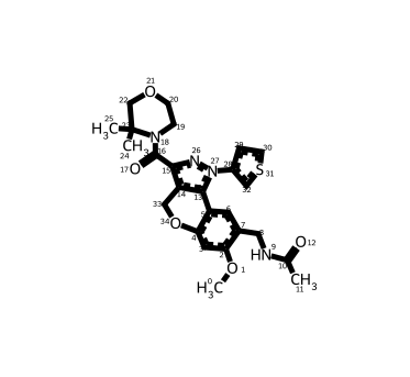 COc1cc2c(cc1CNC(C)=O)-c1c(c(C(=O)N3CCOCC3(C)C)nn1-c1ccsc1)CO2